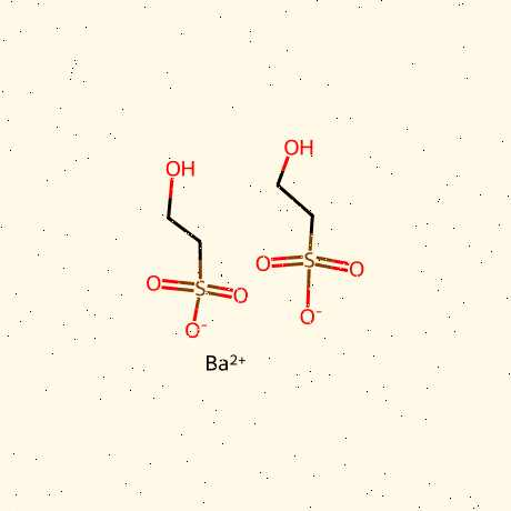 O=S(=O)([O-])CCO.O=S(=O)([O-])CCO.[Ba+2]